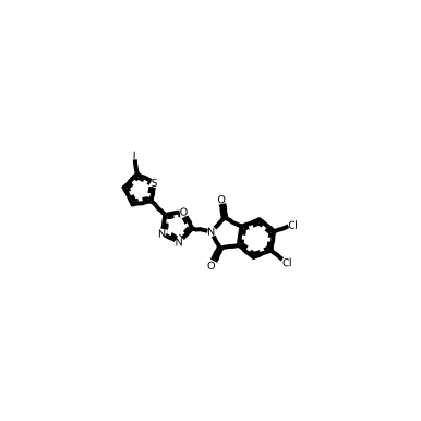 O=C1c2cc(Cl)c(Cl)cc2C(=O)N1c1nnc(-c2ccc(I)s2)o1